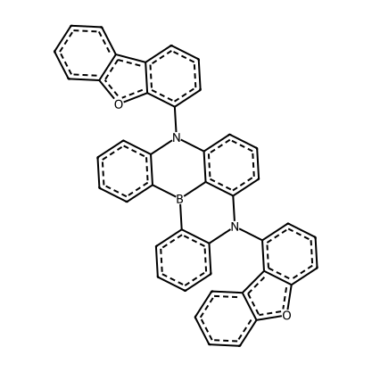 c1ccc2c(c1)B1c3ccccc3N(c3cccc4oc5ccccc5c34)c3cccc(c31)N2c1cccc2c1oc1ccccc12